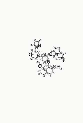 N#Cc1c(N)ccc2c1[C@]1(CCC2)Cc2nc(OC[C@@]34CCCN3C[C@H](F)C4)nc(N3CCOCC(n4cccn4)C3)c2CO1